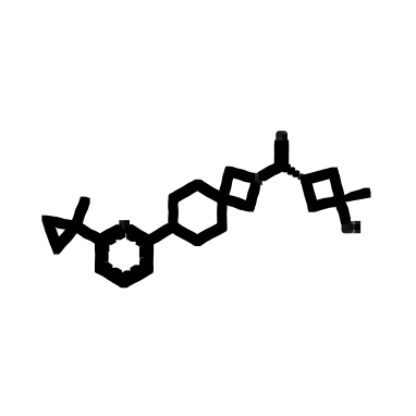 CC1(c2cccc(C3CCC4(CC3)CN(C(=O)[C@H]3C[C@@](C)(O)C3)C4)n2)CC1